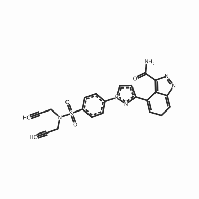 C#CCN(CC#C)S(=O)(=O)c1ccc(-n2ccc(C3=CCC=C4N=NC(C(N)=O)=C43)n2)cc1